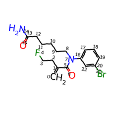 C=C(CCF)C(=O)N(CCCCCC(N)=O)c1cccc(Br)c1